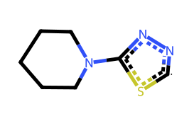 [c]1nnc(N2CCCCC2)s1